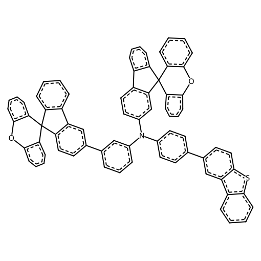 c1cc(-c2ccc3c(c2)-c2ccccc2C32c3ccccc3Oc3ccccc32)cc(N(c2ccc(-c3ccc4sc5ccccc5c4c3)cc2)c2ccc3c(c2)C2(c4ccccc4Oc4ccccc42)c2ccccc2-3)c1